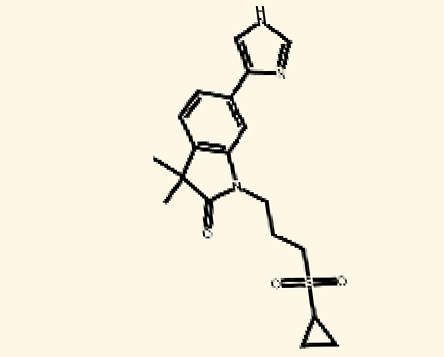 CC1(C)C(=O)N(CCCS(=O)(=O)C2CC2)c2cc(-c3c[nH]cn3)ccc21